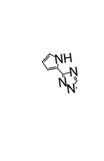 C1=NC(c2ccc[nH]2)=N[N]1